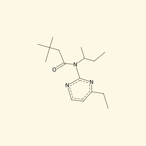 CCc1ccnc(N(C(=O)CC(C)(C)C)C(C)CC)n1